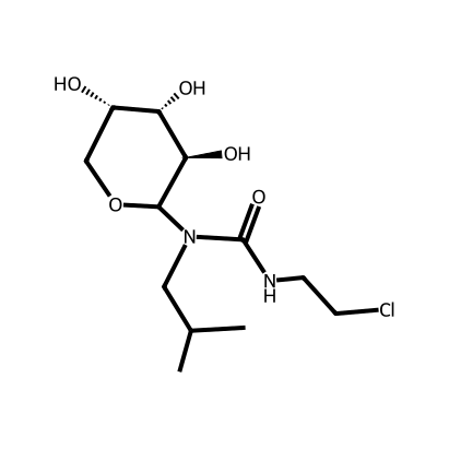 CC(C)CN(C(=O)NCCCl)C1OC[C@H](O)[C@H](O)[C@H]1O